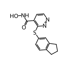 O=C(NO)c1ccnnc1Sc1ccc2c(c1)CCC2